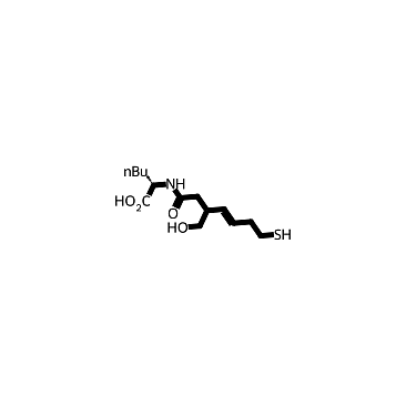 CCCC[C@H](NC(=O)CC(/C=C/CCS)CO)C(=O)O